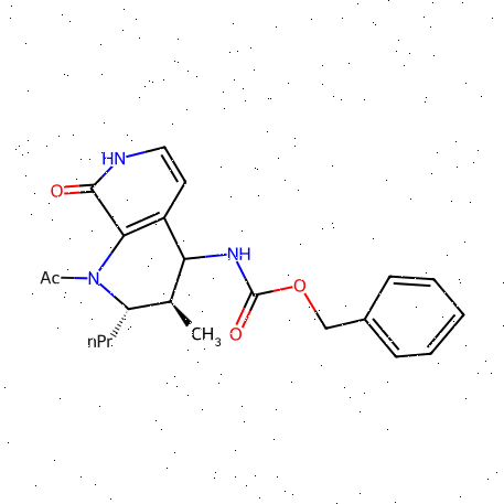 CCC[C@H]1[C@H](C)C(NC(=O)OCc2ccccc2)c2cc[nH]c(=O)c2N1C(C)=O